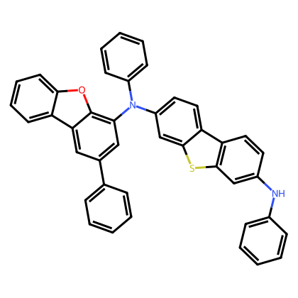 c1ccc(Nc2ccc3c(c2)sc2cc(N(c4ccccc4)c4cc(-c5ccccc5)cc5c4oc4ccccc45)ccc23)cc1